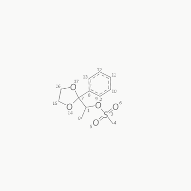 CC(OS(C)(=O)=O)C1(c2ccccc2)OCCO1